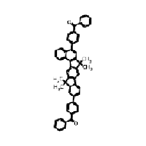 CC1(C)c2cc(-c3ccc(C(=O)c4ccccc4)cc3)ccc2-c2cc3c(cc21)-c1c(cc(-c2ccc(C(=O)c4ccccc4)cc2)c2ccccc12)C3(C)C